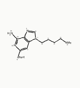 CCCCCc1cc2c(ncn2CCCCNC)c(N)n1